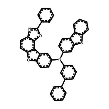 c1ccc(-c2cccc(N(c3ccc4c(c3)sc3ccccc34)c3ccc4oc5ccc6nc(-c7ccccc7)oc6c5c4c3)c2)cc1